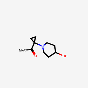 COC(=O)C1(N2CCC(O)CC2)CC1